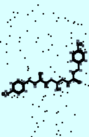 O=C(NCC(S)CNC(=O)OCc1ccc([N+](=O)[O-])cc1)OCc1ccc([N+](=O)[O-])cc1